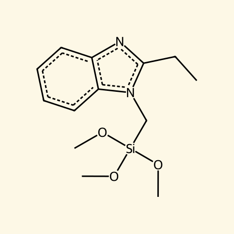 CCc1nc2ccccc2n1C[Si](OC)(OC)OC